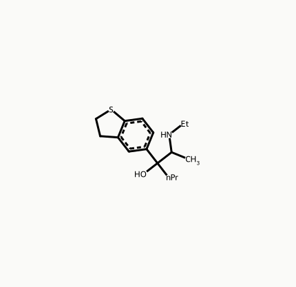 CCCC(O)(c1ccc2c(c1)CCS2)C(C)NCC